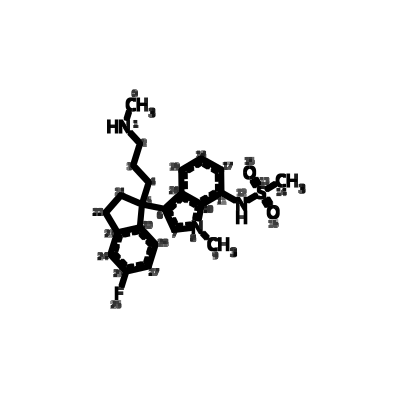 CNCCCC1(c2cn(C)c3c(NS(C)(=O)=O)cccc23)CCc2cc(F)ccc21